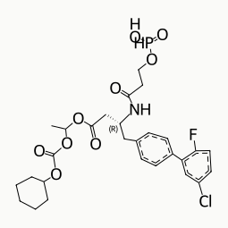 CC(OC(=O)C[C@@H](Cc1ccc(-c2cc(Cl)ccc2F)cc1)NC(=O)CCO[PH](=O)O)OC(=O)OC1CCCCC1